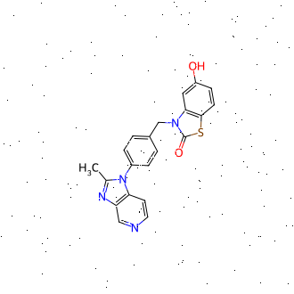 Cc1nc2cnccc2n1-c1ccc(Cn2c(=O)sc3ccc(O)cc32)cc1